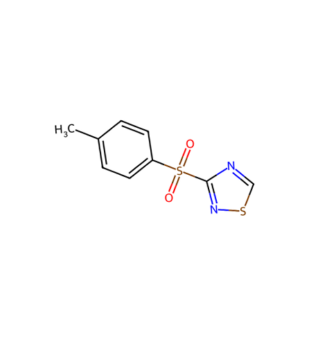 Cc1ccc(S(=O)(=O)c2ncsn2)cc1